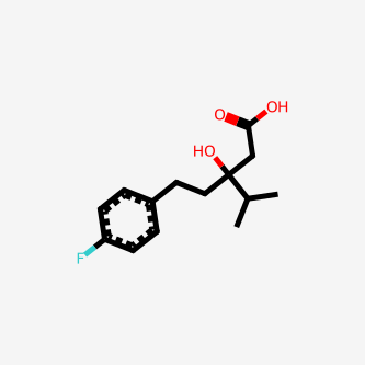 CC(C)C(O)(CCc1ccc(F)cc1)CC(=O)O